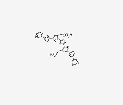 O=C(O)Cc1cc(-c2ccc(-c3cccnc3)s2)sc1-c1ccc(-c2sc(-c3ccc(-c4cccnc4)s3)cc2CC(=O)O)s1